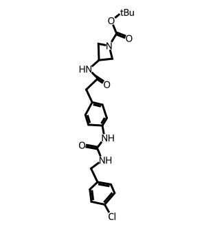 CC(C)(C)OC(=O)N1CC(NC(=O)Cc2ccc(NC(=O)NCc3ccc(Cl)cc3)cc2)C1